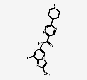 Cc1cn2cc(NC(=O)c3cnc(C4CCNCC4)cn3)nc(F)c2n1